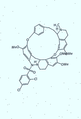 COc1cc2c3cc1Oc1ccc(cc1)CC[C@@H]1c4cc(c(OC)cc4CCN1C)Oc1c(OC)c(OC)cc4c1[C@H](C3)N(CC4)N2S(=O)(=O)c1ccc(Cl)cc1Cl